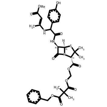 COC(=O)C=C(C)NC(C(=O)N[C@@H]1C(=O)N2[C@@H]1SC(C)(C)[C@@H]2C(=O)OCOC(=O)C(C)(C)C(=O)OCc1ccccc1)c1ccc(O)cc1